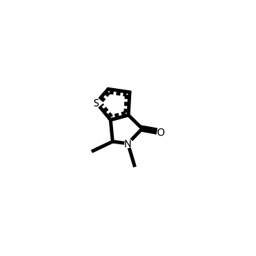 CC1c2sccc2C(=O)N1C